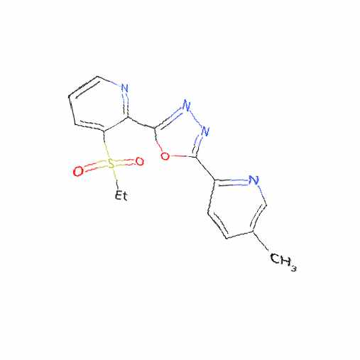 CCS(=O)(=O)c1cccnc1-c1nnc(-c2ccc(C)cn2)o1